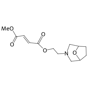 COC(=O)/C=C/C(=O)OCCN1CC2CCC(C1)O2